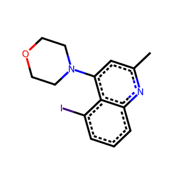 Cc1cc(N2CCOCC2)c2c(I)cccc2n1